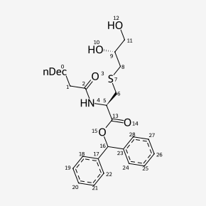 CCCCCCCCCCCC(=O)N[C@@H](CSC[C@H](O)CO)C(=O)OC(c1ccccc1)c1ccccc1